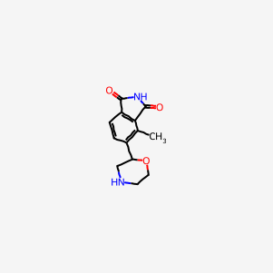 Cc1c(C2CNCCO2)ccc2c1C(=O)NC2=O